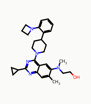 Cc1cc2nc(C3CC3)nc(N3CCC(c4ccccc4N4CCC4)CC3)c2cc1N(C)CCO